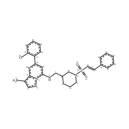 Bc1cnn2c(NCC3CCCN(S(=O)(=O)/C=C/c4ccccc4)C3)cc(-c3ccccc3Cl)nc12